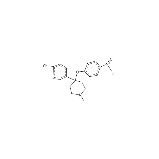 CN1CCC(Oc2ccc([N+](=O)[O-])cc2)(c2ccc(Cl)cc2)CC1